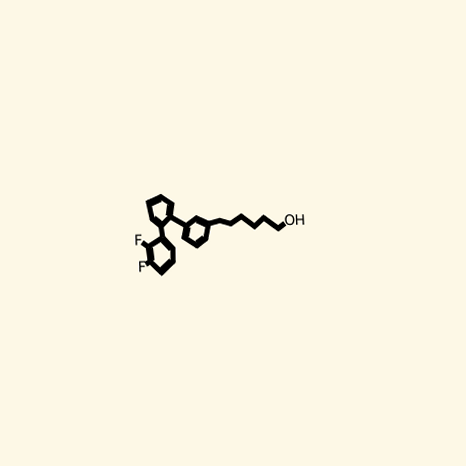 OCCCCCCc1cccc(-c2ccccc2-c2cccc(F)c2F)c1